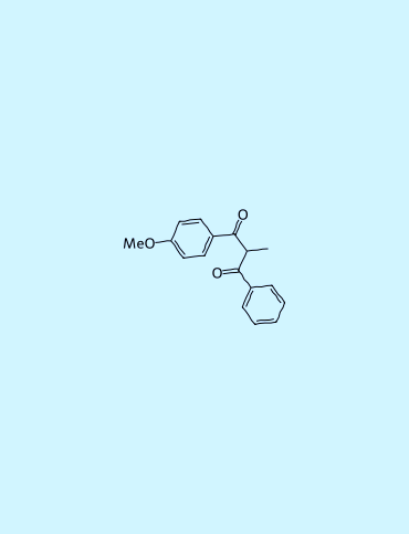 COc1ccc(C(=O)C(C)C(=O)c2ccccc2)cc1